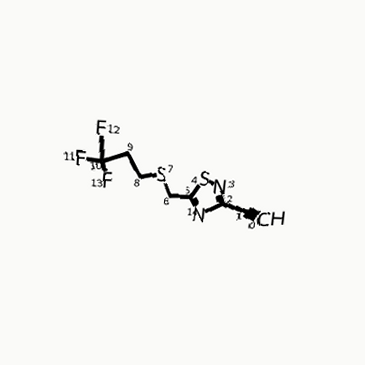 C#Cc1nsc(CSCCC(F)(F)F)n1